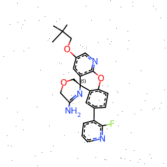 CC(C)(C)COc1cnc2c(c1)[C@]1(COCC(N)=N1)c1cc(-c3cccnc3F)ccc1O2